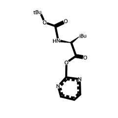 CC[C@H](C)[C@H](NC(=O)OC(C)(C)C)C(=O)Oc1ncccn1